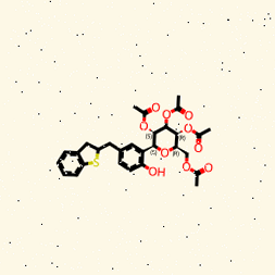 CC(=O)OC[C@H]1O[C@@H](c2cc(CC3Cc4ccccc4S3)ccc2O)[C@H](OC(C)=O)C(OC(C)=O)[C@@H]1OC(C)=O